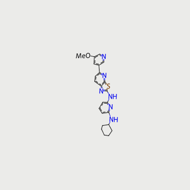 COc1cncc(-c2ccc3nc(Nc4cccc(NC5CCCCC5)n4)sc3n2)c1